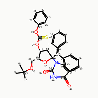 Cc1cn([C@@]2([SiH](c3ccccc3)c3ccccc3)C[C@H](OC(=S)Oc3ccccc3)[C@@H](COC(C)(C)C)O2)c(=O)[nH]c1=O